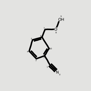 N#Cc1cccc(COO)c1